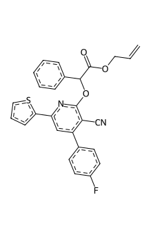 C=CCOC(=O)C(Oc1nc(-c2cccs2)cc(-c2ccc(F)cc2)c1C#N)c1ccccc1